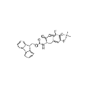 CC(C)(C)Oc1c(F)cc(CC(NC(=O)OCC2c3ccccc3-c3ccccc32)C(=O)O)cc1F